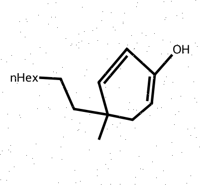 CCCCCCCCC1(C)C=CC(O)=CC1